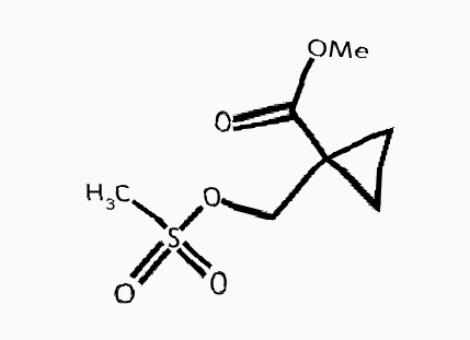 COC(=O)C1(COS(C)(=O)=O)CC1